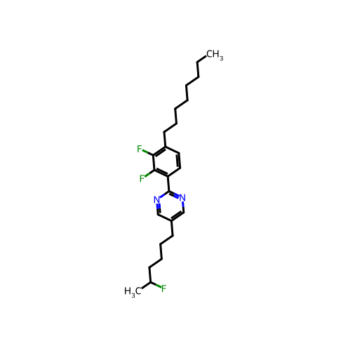 CCCCCCCCc1ccc(-c2ncc(CCCCC(C)F)cn2)c(F)c1F